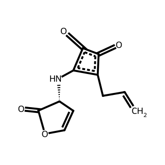 C=CCc1c(N[C@@H]2C=COC2=O)c(=O)c1=O